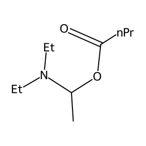 CCCC(=O)OC(C)N(CC)CC